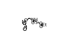 CCC(=O)OCCSCC(=O)NC/C=C\COc1cc(CN2CCCCC2)ccn1